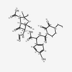 CCN1CCN(C(=O)NC(C(=O)N[C@]2(NC=O)C(=O)N3[C@@H](C(=O)O)C(C)(C)S[C@@H]32)c2ccc(O)cc2)C(=O)C1=O